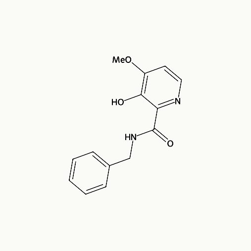 COc1ccnc(C(=O)NCc2ccccc2)c1O